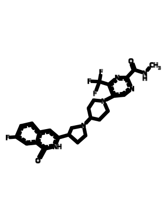 CNC(=O)c1ncc(N2CCC(N3CCC(c4cc5ccc(F)cc5c(=O)[nH]4)C3)CC2)c(C(F)(F)F)n1